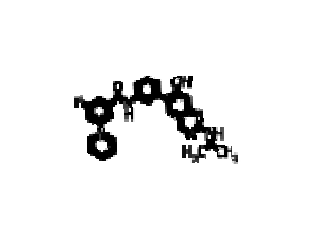 CC(C)Nc1ncc2cc(-c3cccc(NC(=O)c4cc(F)cc(N5CCCCC5)c4)c3)c(O)cc2n1